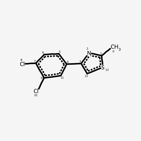 Cc1nc(-c2ccc(Cl)c(Cl)c2)cs1